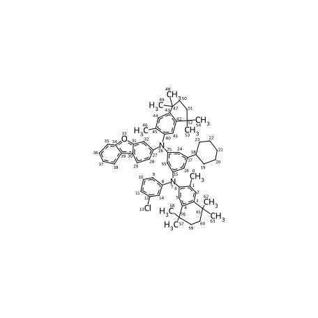 Cc1cc2c(cc1N(c1cccc(Cl)c1)c1cc(C3CCCCC3)cc(N(c3ccc4c(c3)oc3ccccc34)c3cc4c(cc3C)C(C)(C)CCC4(C)C)c1)C(C)(C)CCC2(C)C